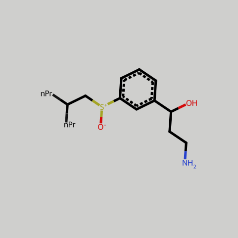 CCCC(CCC)C[S+]([O-])c1cccc(C(O)CCN)c1